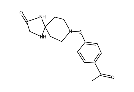 CC(=O)c1ccc(SN2CCC3(CC2)NCC(=O)N3)cc1